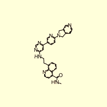 CNC(=O)c1ccnc2c(CCNc3cc(-c4ccc(N5Cc6ccncc6C5)nc4)ncn3)cccc12